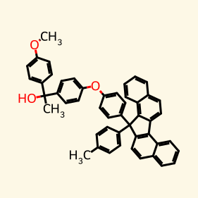 COc1ccc(C(C)(O)c2ccc(Oc3ccc(C4(c5ccc(C)cc5)c5ccc6ccccc6c5-c5ccc6ccccc6c54)cc3)cc2)cc1